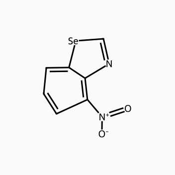 O=[N+]([O-])c1cccc2[se]cnc12